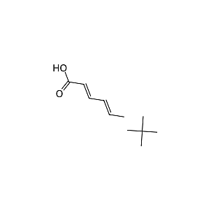 CC(C)(C)C.CC=CC=CC(=O)O